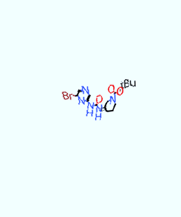 CC(C)(C)OC(=O)N1CCC[C@H](NC(=O)Nc2cncc(Br)n2)C1